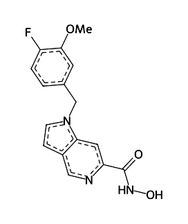 COc1cc(Cn2ccc3cnc(C(=O)NO)cc32)ccc1F